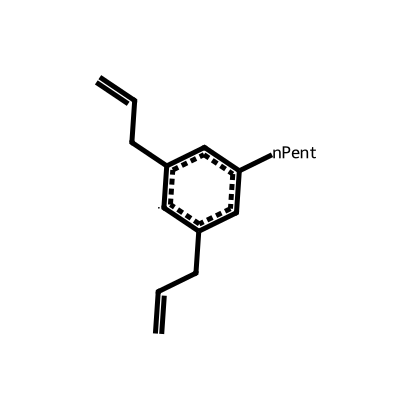 C=CCc1[c]c(CC=C)cc(CCCCC)c1